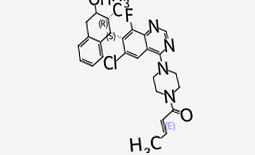 C/C=C/C(=O)N1CCN(c2ncnc3c(F)c([C@@H]4c5ccccc5CC(O)[C@@H]4C)c(Cl)cc23)CC1